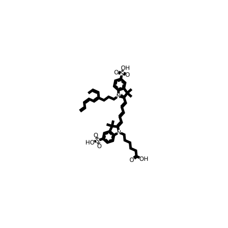 C=C\C=C/C=C(\C=C/C)CCC[N+]1=C(/C=C/C=C/C=C2/N(CCCCCC(=O)O)c3ccc(S(=O)(=O)O)cc3C2(C)C)C(C)(C)c2cc(S(=O)(=O)O)ccc21